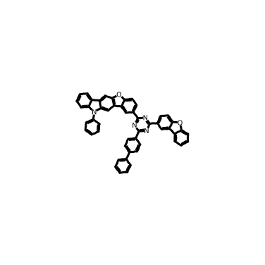 c1ccc(-c2ccc(-c3nc(-c4ccc5oc6ccccc6c5c4)nc(-c4ccc5oc6cc7c8ccccc8n(-c8ccccc8)c7cc6c5c4)n3)cc2)cc1